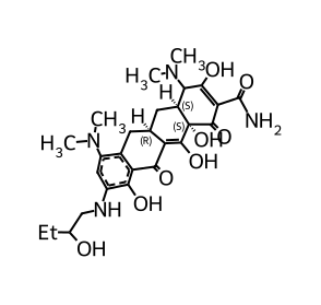 CCC(O)CNc1cc(N(C)C)c2c(c1O)C(=O)C1=C(O)[C@]3(O)C(=O)C(C(N)=O)=C(O)C(N(C)C)[C@@H]3C[C@@H]1C2